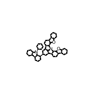 c1ccc(-n2c3ccccc3c3cccc(-c4cc5c6ccc7c8ccccc8oc7c6n6c5c(c4)c4ccc5c7ccccc7oc5c46)c32)cc1